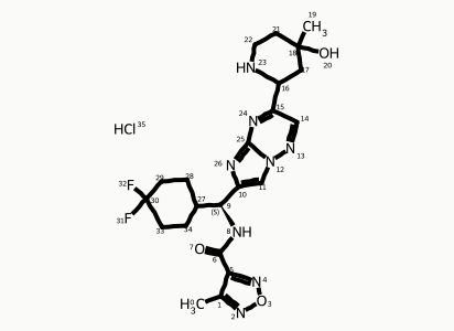 Cc1nonc1C(=O)N[C@H](c1cn2ncc(C3CC(C)(O)CCN3)nc2n1)C1CCC(F)(F)CC1.Cl